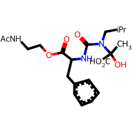 CC(=O)NCCOC(=O)C(Cc1ccccc1)NC(=O)N(CC(C)C)C(C)(O)C(=O)O